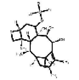 CC[Si](CC)(CC)OC1C[C@H]2OC[C@@]2(C)[C@H]2[C@H](C)[C@]3(O)C[C@H](C)C(C)=C([C@H](O)[C@H](O)[C@]12C)C3(C)C